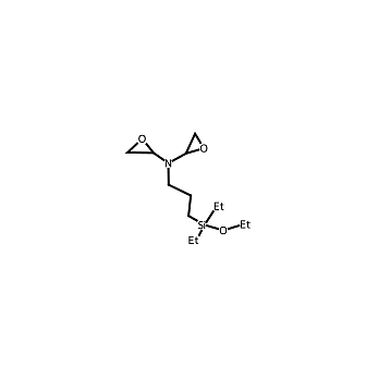 CCO[Si](CC)(CC)CCCN(C1CO1)C1CO1